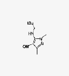 Cc1nn(C)c(NCC(C)(C)C)c1N=O